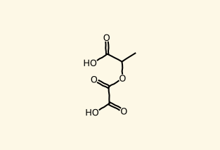 CC(OC(=O)C(=O)O)C(=O)O